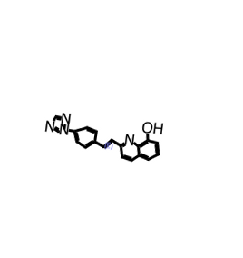 Oc1cccc2ccc(/C=C/c3ccc(-n4cncn4)cc3)nc12